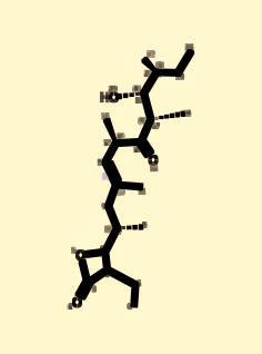 CCC1C(=O)OC1[C@@H](C)C/C(C)=C/[C@@H](C)C(=O)[C@@H](C)[C@H](O)[C@@H](C)CC